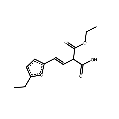 CCOC(=O)C(C=Cc1ccc(CC)o1)C(=O)O